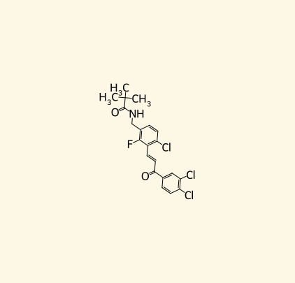 CC(C)(C)C(=O)NCc1ccc(Cl)c(/C=C/C(=O)c2ccc(Cl)c(Cl)c2)c1F